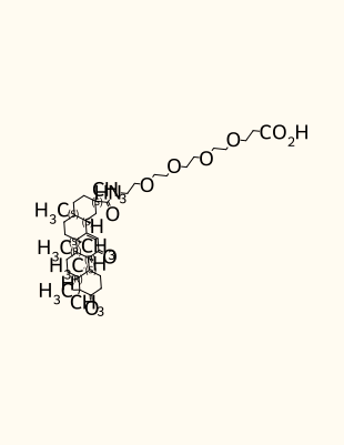 CC1(C)C(=O)CC[C@]2(C)[C@H]3C(=O)C=C4[C@H]5C[C@@](C)(C(=O)NCCOCCOCCOCCOCCC(=O)O)CC[C@]5(C)CC[C@@]4(C)[C@]3(C)CC[C@@H]12